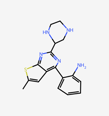 Cc1cc2c(-c3ccccc3N)nc(C3CNCCN3)nc2s1